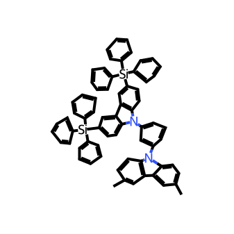 Cc1ccc2c(c1)c1cc(C)ccc1n2-c1cccc(-n2c3ccc([Si](c4ccccc4)(c4ccccc4)c4ccccc4)cc3c3cc([Si](c4ccccc4)(c4ccccc4)c4ccccc4)ccc32)c1